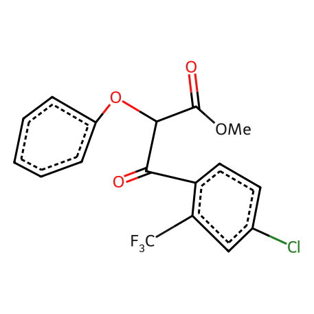 COC(=O)C(Oc1ccccc1)C(=O)c1ccc(Cl)cc1C(F)(F)F